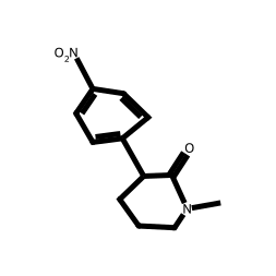 CN1CCCC(c2ccc([N+](=O)[O-])cc2)C1=O